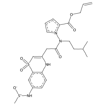 C=CCOC(=O)c1cccn1N(CCC(C)C)C(=O)CC1=CS(=O)(=O)c2cc(N[S+](C)[O-])ccc2N1